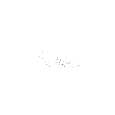 Cc1cn2c(-c3cnn(CC(=O)Nc4ccc(F)cc4)c3)cnc2c(Nc2cc(CN3CCCCC3)ns2)n1